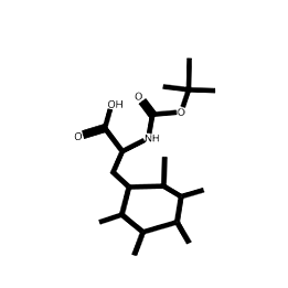 CC1C(C)C(C)C(CC(NC(=O)OC(C)(C)C)C(=O)O)C(C)C1C